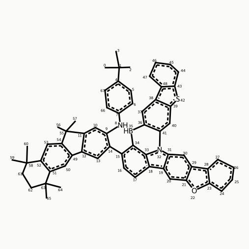 CC(C)(C)c1ccc(Nc2cc3c(cc2-c2ccc4c5cc6oc7ccccc7c6cc5n5c4c2Bc2cc4c(cc2-5)sc2ccccc24)-c2cc4c(cc2C3(C)C)C(C)(C)CCC4(C)C)cc1